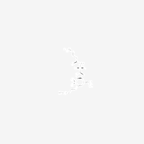 CCN[C@H]1CN(CCCOC)S(=O)(=O)c2sc(S(=O)(=O)NC(=O)CCO[N+](=O)[O-])cc21